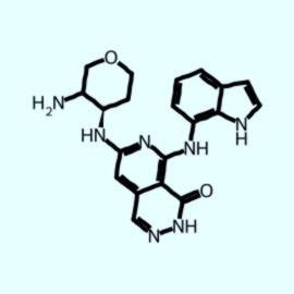 NC1COCC[C@H]1Nc1cc2cn[nH]c(=O)c2c(Nc2cccc3cc[nH]c23)n1